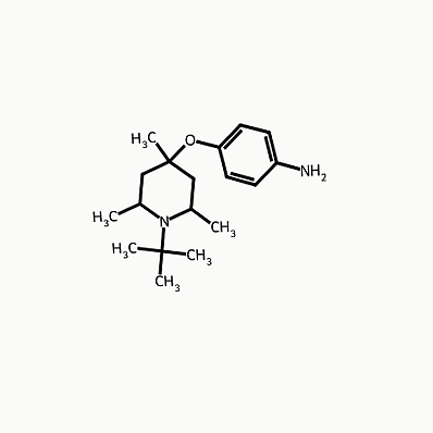 CC1CC(C)(Oc2ccc(N)cc2)CC(C)N1C(C)(C)C